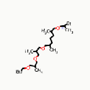 CC/C(C)=C/OCC(C)CCCC(C)COCC(C)COCC(C)COCC(C)CC